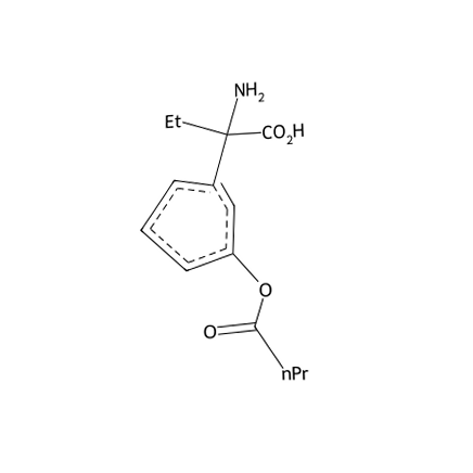 CCCC(=O)Oc1cccc(C(N)(CC)C(=O)O)c1